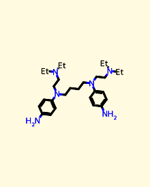 CCN(CC)CCN(CCCCN(CCN(CC)CC)c1ccc(N)cc1)c1ccc(N)cc1